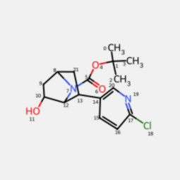 CC(C)(C)OC(=O)N1C2CC(O)C1C(c1ccc(Cl)nc1)C2